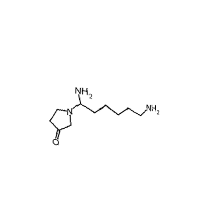 NCCCCCC(N)N1CCC(=O)C1